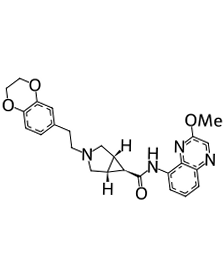 COc1cnc2cccc(NC(=O)[C@H]3[C@@H]4CN(CCc5ccc6c(c5)OCCO6)C[C@@H]43)c2n1